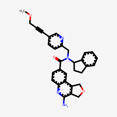 COCC#Cc1ccc(CN(C(=O)c2ccc3nc(N)c4c(c3c2)COC4)C2CCc3ccccc32)nc1